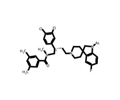 CC(=O)N1CC2(CCN(CC[C@H](CN(C)C(=O)c3cc(C)cc(C)c3)c3ccc(Cl)c(Cl)c3)CC2)c2cc(F)ccc21